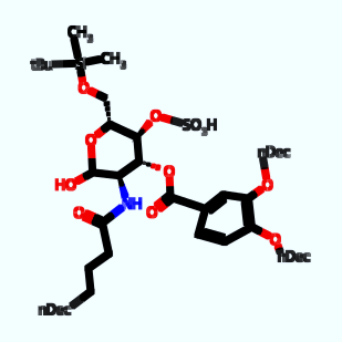 CCCCCCCCCCCCCC(=O)N[C@H]1C(O)O[C@H](CO[Si](C)(C)C(C)(C)C)[C@@H](OS(=O)(=O)O)[C@@H]1OC(=O)c1ccc(OCCCCCCCCCC)c(OCCCCCCCCCC)c1